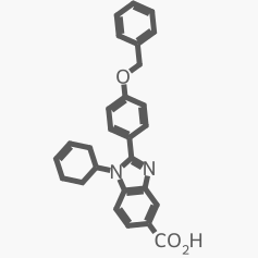 O=C(O)c1ccc2c(c1)nc(-c1ccc(OCc3ccccc3)cc1)n2C1CC=CCC1